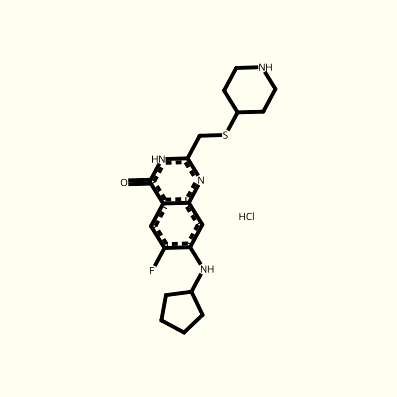 Cl.O=c1[nH]c(CSC2CCNCC2)nc2cc(NC3CCCC3)c(F)cc12